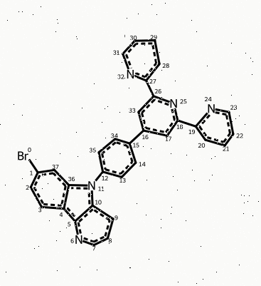 Brc1ccc2c3ncccc3n(-c3ccc(-c4cc(-c5ccccn5)nc(-c5ccccn5)c4)cc3)c2c1